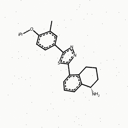 Cc1cc(-c2nnc(-c3cccc4c3CCC[C@@H]4N)s2)ccc1OC(C)C